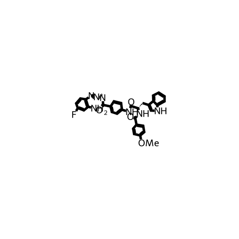 COc1ccc(C(=O)N[C@@H](Cc2c[nH]c3ccccc23)C(=O)Nc2ccc(C(=O)N=[N+]=Nc3ccc(F)cc3N)cc2)cc1